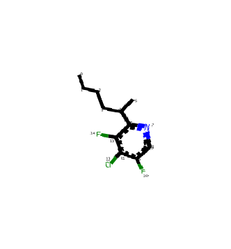 CCCCC(C)c1ncc(F)c(Cl)c1F